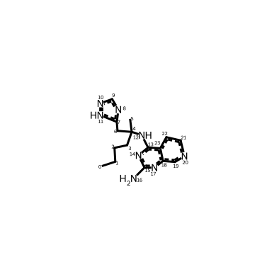 CCCCC(C)(Cc1ncn[nH]1)Nc1nc(N)nc2cnccc12